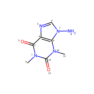 Cn1c(=O)c2ncn(N)c2n(C)c1=O